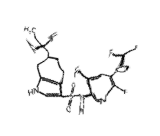 CC(F)(F)C1CCc2c(S(=O)(=O)Nc3nc(F)c(OC(F)F)cc3F)c[nH]c2C1